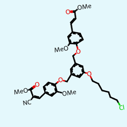 COC(=O)C=Cc1ccc(OCc2cc(COc3ccc(C=C(C#N)C(=O)OC)cc3OC)cc(OCCCCCCCl)c2)c(OC)c1